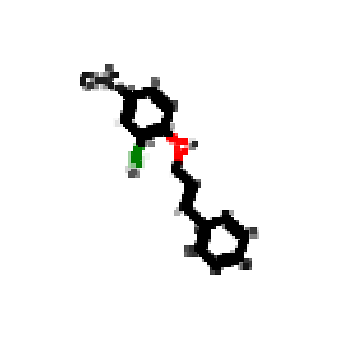 O=Cc1ccc(OC/C=C/c2ccccc2)c(Br)c1